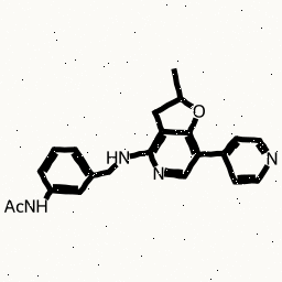 CC(=O)Nc1cccc(CNc2ncc(-c3ccncc3)c3c2CC(C)O3)c1